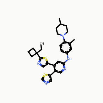 Cc1cc(Nc2cc(-c3cnc(C4(CC#N)CCC4)s3)c(-c3cncs3)cn2)ccc1N1CCC(C)CC1